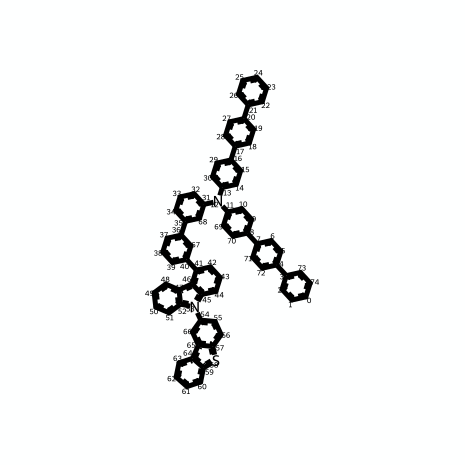 c1ccc(-c2ccc(-c3ccc(N(c4ccc(-c5ccc(-c6ccccc6)cc5)cc4)c4cccc(-c5cccc(-c6cccc7c6c6ccccc6n7-c6ccc7sc8ccccc8c7c6)c5)c4)cc3)cc2)cc1